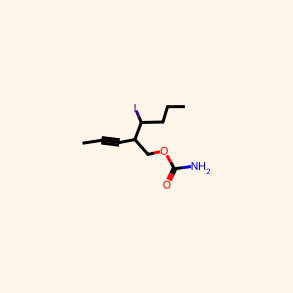 CC#CC(COC(N)=O)C(I)CCC